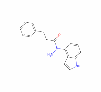 NN(C(=O)CCc1ccccc1)c1cccc2[nH]ccc12